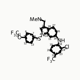 CNCc1cn(Sc2ccc(OC(F)(F)F)cc2)c2cc(Nc3ccc(C(F)(F)F)cc3Cl)ccc12